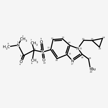 CN(C)C(=O)C(C)(C)S(=O)(=O)c1ccc2c(c1)nc(CC(C)(C)C)n2CC1CC1